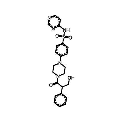 O=C(C(CO)c1ccccc1)N1CCN(c2ccc(S(=O)(=O)Nc3ccncn3)cc2)CC1